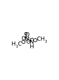 Cc1ccc(CN(Cc2cc3cc(C)ccc3[nH]c2=O)C(=O)c2ccco2)cc1